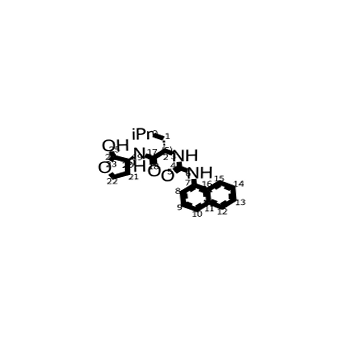 CC(C)C[C@H](NC(=O)Nc1cccc2ccccc12)C(=O)N[C@H]1CCOC1O